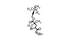 CC(C)(C)OC(=O)C(Br)CC(C)(C)C(=O)OCC#C[Si](C)(C)C